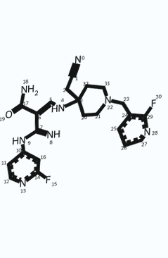 N#CCC1(N/C=C(\C(=N)Nc2ccnc(F)c2)C(N)=O)CCN(Cc2cccnc2F)CC1